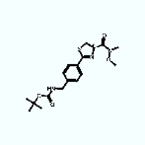 CON(C)C(=O)[C@@H]1CSC(c2ccc(CNC(=O)OC(C)(C)C)cc2)=N1